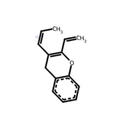 C=CC1=C(/C=C\C)Cc2ccccc2O1